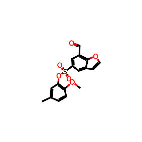 COc1ccc(C)cc1OS(=O)(=O)c1cc(C=O)c2occc2c1